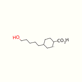 O=C(O)C1[CH]CC(CCCCCO)CC1